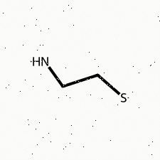 [NH]CC[S]